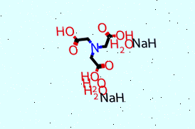 O.O.O.O=C(O)CN(CC(=O)O)CC(=O)O.[NaH].[NaH]